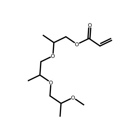 C=CC(=O)OCC(C)OCC(C)OCC(C)OC